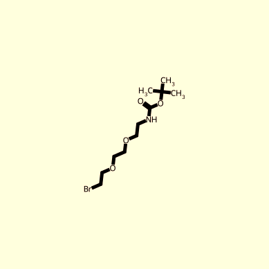 CC(C)(C)OC(=O)NCCOCCOCCBr